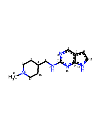 CN1CCC(CNc2ncc3cc[nH]c3n2)CC1